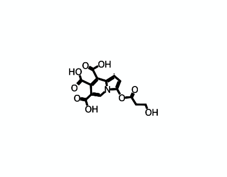 O=C(CCO)Oc1c[c]c2c(C(=O)O)c(C(=O)O)c(C(=O)O)cn12